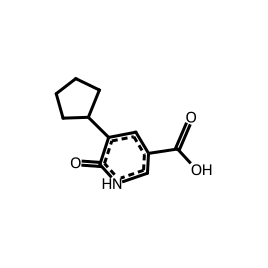 O=C(O)c1c[nH]c(=O)c(C2CCCC2)c1